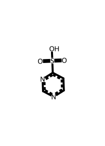 O=S(=O)(O)c1ccncn1